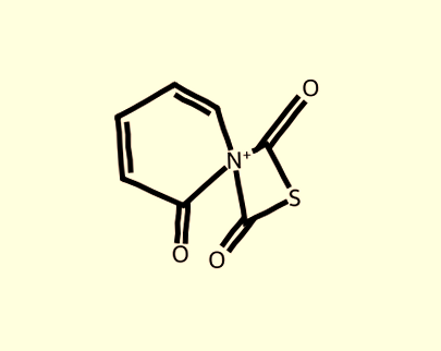 O=C1C=CC=C[N+]12C(=O)SC2=O